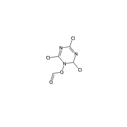 O=CON1C(Cl)=NC(Cl)=NC1Cl